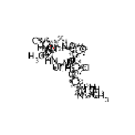 COC[C@@H]1NC(=O)[C@H](C)N(Cc2c(F)cc(Cl)cc2Oc2ccc(-c3cnc(CN(C)C)n3C)cc2)C(=O)CC(C2CCOCC2)C(=O)N2CCC[C@@](Cc3ccc(Cl)cc3)(C2)N(C)C1=O